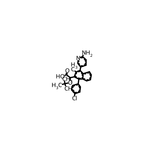 Cc1c(C(OC(C)(C)C)C(=O)O)c(-c2ccc(Cl)cc2)c2ccccc2c1-c1ccc(N)nc1